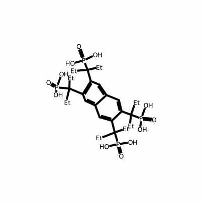 CCC(CC)(c1cc2cc(C(CC)(CC)P(=O)(O)O)c(C(CC)(CC)P(=O)(O)O)cc2cc1C(CC)(CC)P(=O)(O)O)P(=O)(O)O